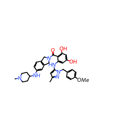 COc1ccc(Cn2nc(C)cc2Nc2cc(O)cc(O)c2C(=O)N2Cc3ccc(NC4CCN(C)CC4)cc3C2)cc1